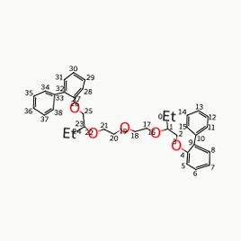 CCC(COc1ccccc1-c1ccccc1)OCCOCCOC(CC)COc1ccccc1-c1ccccc1